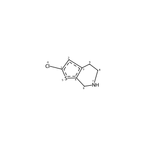 Clc1cc2c(s1)CNCC2